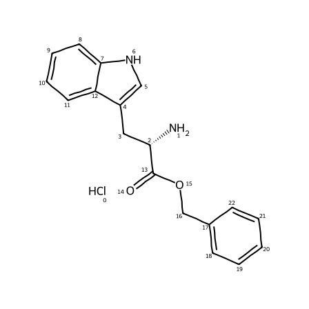 Cl.N[C@@H](Cc1c[nH]c2ccccc12)C(=O)OCc1ccccc1